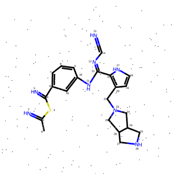 CC(=N)SC(=N)c1cccc(N/C(=N/C=N)c2[nH]ccc2CN2CC3CNCC3C2)c1